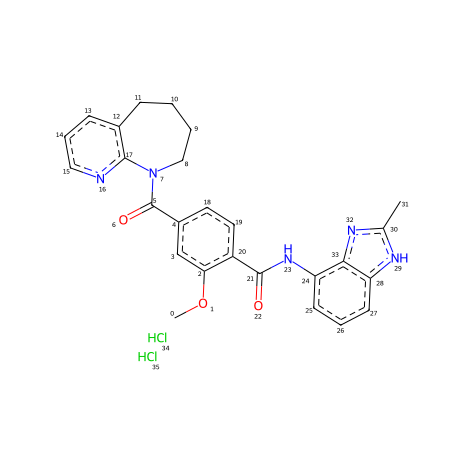 COc1cc(C(=O)N2CCCCc3cccnc32)ccc1C(=O)Nc1cccc2[nH]c(C)nc12.Cl.Cl